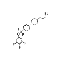 CC/C=C\C[C@H]1CC[C@H](c2ccc(C(F)(F)Oc3cc(F)c(F)c(F)c3)cc2)CC1